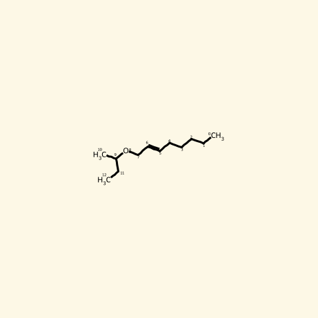 CCCCCC=CCOC(C)CC